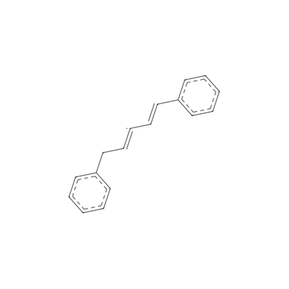 [C](=CCc1ccccc1)C=Cc1ccccc1